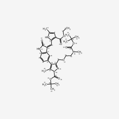 CCOC(=O)c1cc(C)[nH]c1/C=C1\C(=O)Nc2ccc(-c3c(COCCN(C)C(=O)OC(C)(C)C)nn(C(=O)OC(C)(C)C)c3C)cc21